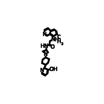 Cc1ccc2ccncc2c1NCC(=O)NC1CN(C2CCC(c3ncccc3O)CC2)C1